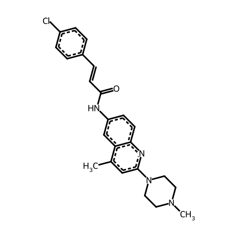 Cc1cc(N2CCN(C)CC2)nc2ccc(NC(=O)C=Cc3ccc(Cl)cc3)cc12